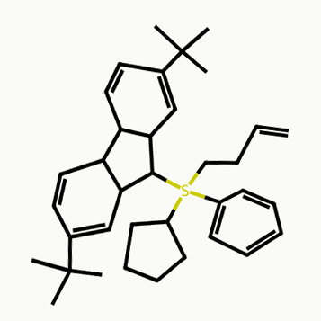 C=CCCS(c1ccccc1)(C1CCCC1)C1C2C=C(C(C)(C)C)C=CC2C2C=CC(C(C)(C)C)=CC21